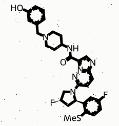 CSc1ccc(F)cc1[C@H]1C[C@H](F)CN1c1ccc2ncc(C(=O)NC3CCN(Cc4cccc(O)c4)CC3)n2n1